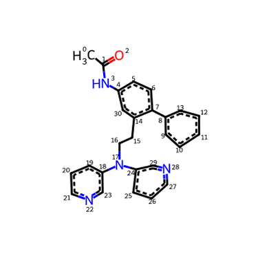 CC(=O)Nc1ccc(-c2ccccc2)c(CCN(c2cccnc2)c2cccnc2)c1